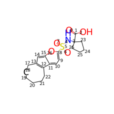 O=C(O)C1(NS(=O)(=O)c2ccc3c4c(cc-3o2)CCCCCC4)CCCC1